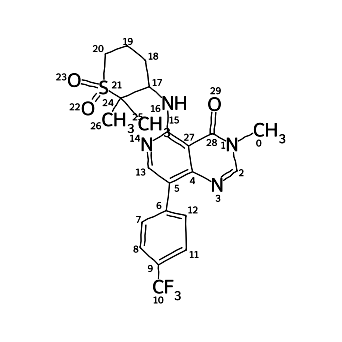 Cn1cnc2c(-c3ccc(C(F)(F)F)cc3)cnc(NC3CCCS(=O)(=O)C3(C)C)c2c1=O